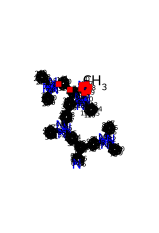 Cc1cccc(-c2cc(-c3cccc(-c4nc(-c5ccccc5)nc(-c5ccccc5)n4)c3)cc(-c3ccc(-c4ccc(-c5nc(-c6ccccc6)nc(-c6ccc(-c7cc(-c8ccncc8)cc(-c8ccc(-c9nc(-c%10ccccc%10)nc(-c%10ccccc%10)n9)cc8)c7)cc6)n5)cc4)cc3-c3nc(-c4ccccc4)nc(-c4ccccc4)n3)c2)n1